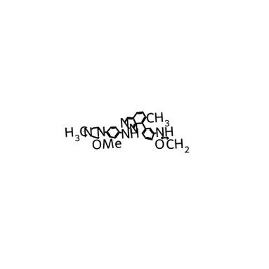 C=CC(=O)Nc1cccc(-c2c(C)ccc3cnc(Nc4ccc(N5CCN(C)CC5)cc4OC)nc23)c1